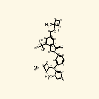 Cn1cnnc1[C@H](c1cccc(N2Cc3c(cc(CNC4(C)CCC4)cc3C(F)(F)F)C2=O)c1)[C@H]1C[C@@H](C#N)C1